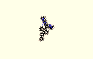 c1ccc(-c2ccc3c(c2)-c2cccc4c(-c5cc(-c6ccccn6)cc(-c6ccc(-c7ccccn7)cn6)c5)c5ccccc5c-3c24)cc1